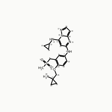 CS(=O)(=O)Cc1cc(Nc2cc(NC3CC3)n3nccc3n2)ccc1OCC1(N)CC1